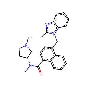 Cc1nc2ccccc2n1Cc1ccc(C(=O)N(C)[C@@H]2CCN(C(C)C)C2)c2ccccc12